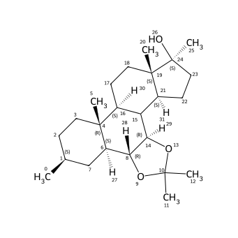 C[C@H]1CC[C@@]2(C)[C@H](C1)[C@H]1OC(C)(C)O[C@@H]1C1[C@@H]2CC[C@@]2(C)[C@H]1CC[C@]2(C)O